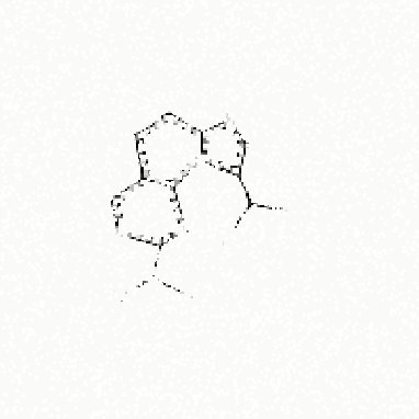 CC(C)c1cnc2ccc3cnc([S+](C)[O-])nc3n12